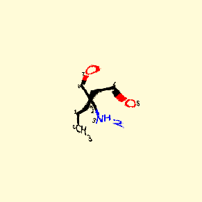 CCC(N)(C=O)C=O